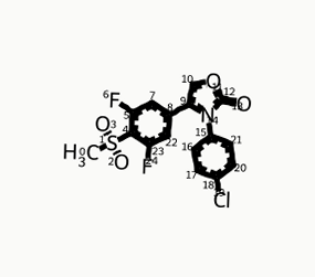 CS(=O)(=O)c1c(F)cc(-c2coc(=O)n2-c2ccc(Cl)cc2)cc1F